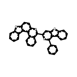 c1ccc(-c2nc(-c3nc4ccc5oc6ccccc6c5c4c4ccccc34)cc3oc4ccccc4c23)cc1